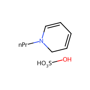 CCCN1C=CC=CC1.O=S(=O)(O)O